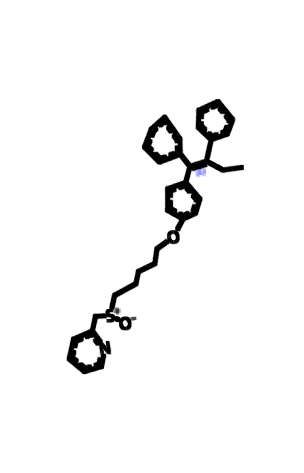 CC/C(=C(/c1ccccc1)c1ccc(OCCCCC[S+]([O-])Cc2ccccn2)cc1)c1ccccc1